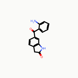 Nc1ccccc1C(=O)c1ccc2c(c1)NC(=O)C2